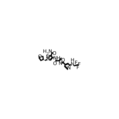 NC(=O)c1nn(C[C@@H]2CCOC2)cc1NC(=O)c1coc(-c2ccnc(NCC(F)(F)F)c2)n1